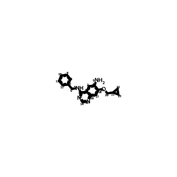 Nc1cc2c(NCc3ccccc3)ncnc2cc1OCC1CC1